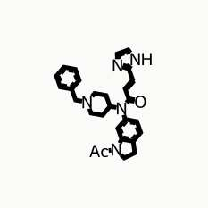 CC(=O)N1CCc2ccc(N(C(=O)C=Cc3ncc[nH]3)C3CCN(Cc4ccccc4)CC3)cc21